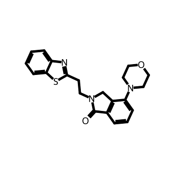 O=C1c2cccc(N3CCOCC3)c2CN1CCc1nc2ccccc2s1